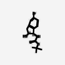 CC(C)(C)OC(=O)N[C@@H]1c2ccc(Br)cc2C[C@@H]1O